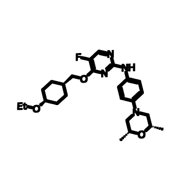 CCO[C@H]1CC[C@@H](COc2nc(Nc3ccc(N4C[C@@H](C)O[C@@H](C)C4)cc3)ncc2F)CC1